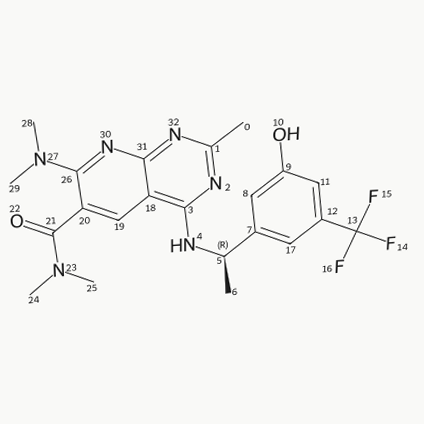 Cc1nc(N[C@H](C)c2cc(O)cc(C(F)(F)F)c2)c2cc(C(=O)N(C)C)c(N(C)C)nc2n1